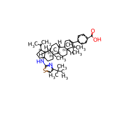 C=C(C)[C@@H]1CC[C@]2(Nc3nc(C(C)(C)C)cs3)CC[C@]3(C)[C@H](CC[C@@H]4[C@@]5(C)CC=C(c6ccc(C(=O)O)cc6)C(C)(C)[C@@H]5CC[C@]43C)[C@@H]12